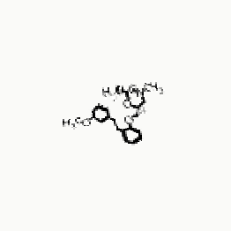 C[CH]O[C@H](COc1ccccc1CCc1cccc(OC)c1)CN(C)C